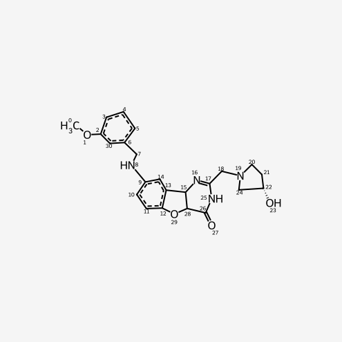 COc1cccc(CNc2ccc3c(c2)C2N=C(CN4CC[C@H](O)C4)NC(=O)C2O3)c1